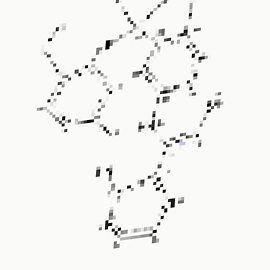 COc1ccc(CNc2nccnc2/C(=N/O)Nc2ccc(F)c(C(F)(F)F)c2)cc1